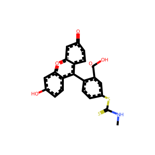 CNC(=S)Sc1ccc(-c2c3ccc(=O)cc-3oc3cc(O)ccc23)c(C(=O)O)c1